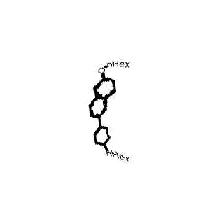 CCCCCCOc1ccc2cc(C3=CCC(CCCCCC)CC3)ccc2c1